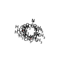 CCCC[C@@H](C)C[C@@H]1NC(=O)[C@H](CC2CCCCC2)N(C)C(=O)[C@H](CC(C)C)NC(=O)[C@H](CC(C)C)N(C)C(=O)[C@H]([C@@H](C)CC)NC(=O)C[C@@H](CCC#N)OC(=O)[C@H](C)N(C)C1=O